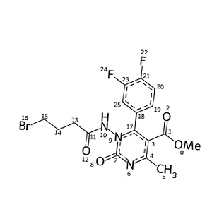 COC(=O)c1c(C)nc(=O)n(NC(=O)CCCBr)c1-c1ccc(F)c(F)c1